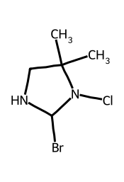 CC1(C)CNC(Br)N1Cl